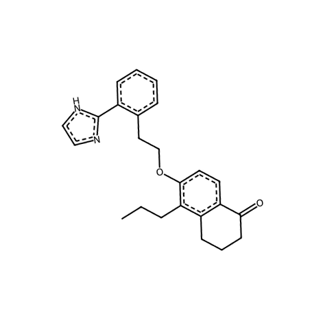 CCCc1c(OCCc2ccccc2-c2ncc[nH]2)ccc2c1CCCC2=O